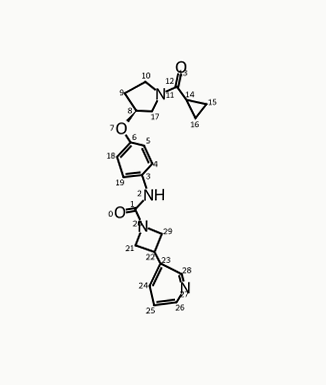 O=C(Nc1ccc(O[C@H]2CCN(C(=O)C3CC3)C2)cc1)N1CC(c2cccnc2)C1